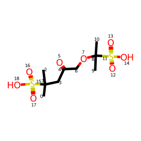 CC(C)(CC(=O)COC(C)(C)S(=O)(=O)O)S(=O)(=O)O